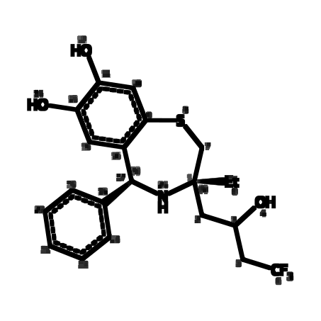 CC[C@]1(CC(O)CC(F)(F)F)CSc2cc(O)c(O)cc2[C@H](c2ccccc2)N1